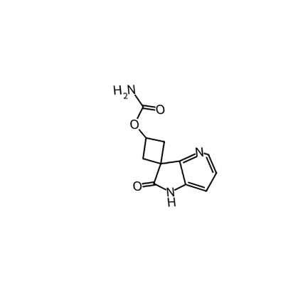 NC(=O)OC1CC2(C1)C(=O)Nc1cccnc12